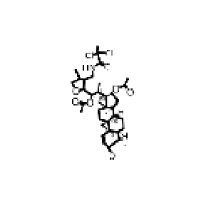 CC(=O)O[C@H]1C[C@@]2(C)[C@@H]3CC[C@H]4[C@H](C)C(=O)C=C[C@@]45C[C@@]35CC[C@]2(C)[C@H]1[C@H](C)[C@@H](OC(C)=O)C1=C(CNC(=O)C(C)(Cl)Cl)C(C)CO1